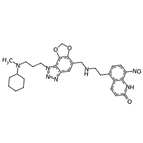 CN(CCCn1nnc2cc(CNCCc3ccc(N=O)c4[nH]c(=O)ccc34)c3c(c21)OCO3)C1CCCCC1